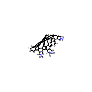 C[N+]1(C)Cc2c3c4c5c6c7c8c9c(c%10c8c8c(c%11c%12c(c%13c%14ccc%15c(c2C1)c4c1c%15c%14c2c%13c%11c8c7c2c61)C[N+](C)(C)C%12)C1C[N+](C)(C)CC%101)C=CC3C95